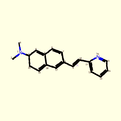 CN(C)C1C=c2ccc(/C=C/c3ccccn3)cc2=CC1